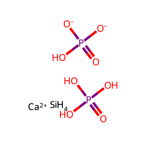 O=P(O)(O)O.O=P([O-])([O-])O.[Ca+2].[SiH4]